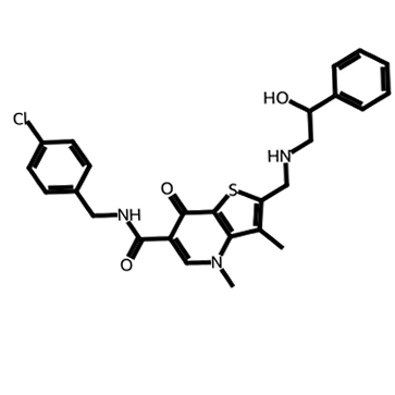 Cc1c(CNCC(O)c2ccccc2)sc2c(=O)c(C(=O)NCc3ccc(Cl)cc3)cn(C)c12